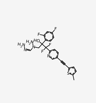 Cc1ccc(C#Cc2ccc(C(F)(F)C(O)(CN(N)/C=N\N)c3ccc(F)cc3F)nc2)s1